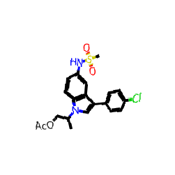 CC(=O)OCC(C)n1cc(-c2ccc(Cl)cc2)c2cc(NS(C)(=O)=O)ccc21